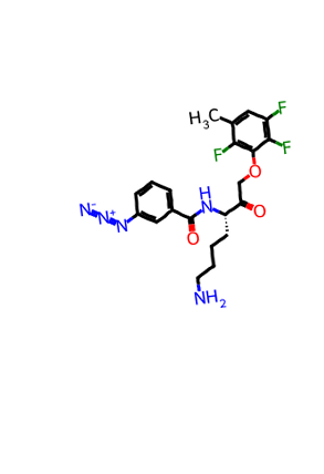 Cc1cc(F)c(F)c(OCC(=O)[C@H](CCCCN)NC(=O)c2cccc(N=[N+]=[N-])c2)c1F